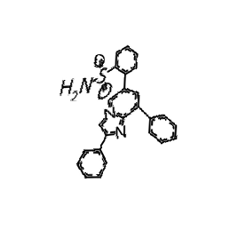 NS(=O)(=O)c1ccccc1-c1cc(-c2ccccc2)c2nc(-c3ccccc3)cn2c1